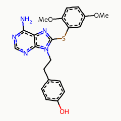 COc1ccc(OC)c(Sc2nc3c(N)ncnc3n2CCc2ccc(O)cc2)c1